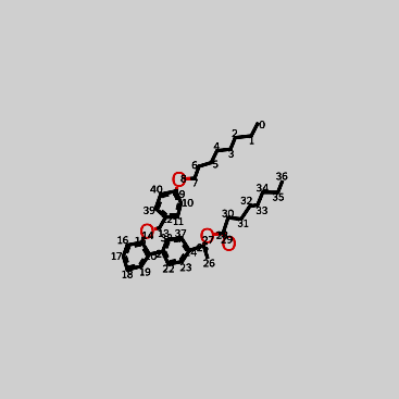 CCCCCCCCOc1ccc(COc2ccccc2-c2ccc(C(C)OC(=O)CCCCCCC)cc2)cc1